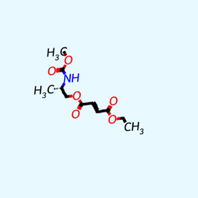 CCOC(=O)/C=C/C(=O)OC[C@H](C)NC(=O)OC